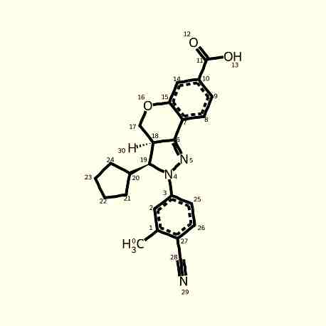 Cc1cc(N2N=C3c4ccc(C(=O)O)cc4OC[C@@H]3[C@@H]2C2CCCC2)ccc1C#N